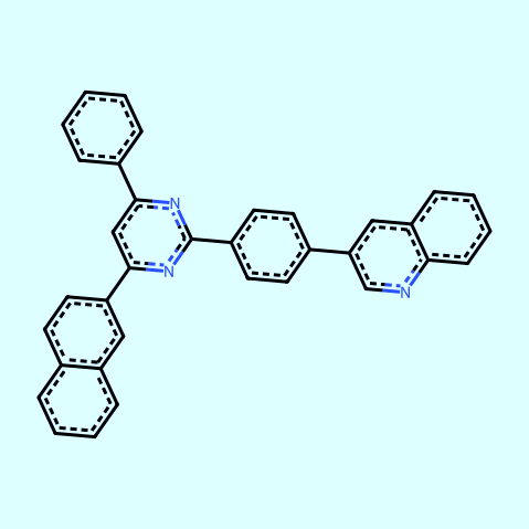 c1ccc(-c2cc(-c3ccc4ccccc4c3)nc(-c3ccc(-c4cnc5ccccc5c4)cc3)n2)cc1